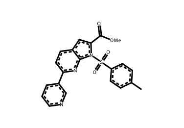 COC(=O)c1cc2ccc(-c3cccnc3)nc2n1S(=O)(=O)c1ccc(C)cc1